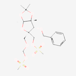 CC1(C)O[C@@H]2O[C@@](COCOS(C)(=O)=O)(COS(C)(=O)=O)[C@@H](OCc3ccccc3)[C@H]2O1